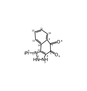 CC(C)n1[nH][nH]c2c(=O)c(=O)c3ccccc3c1=2